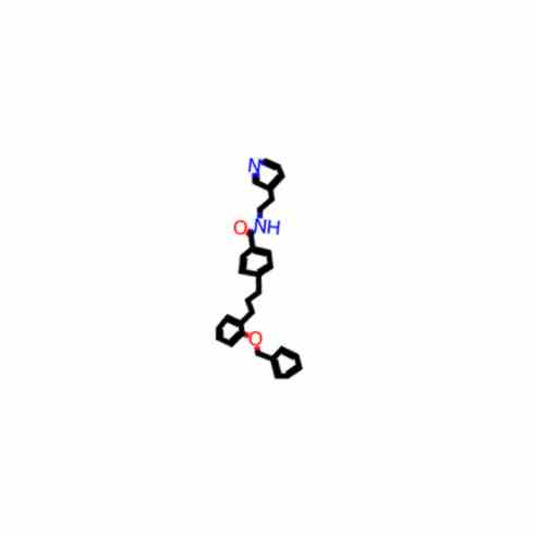 O=C(NCCc1cccnc1)c1ccc(CCCc2ccccc2OCc2ccccc2)cc1